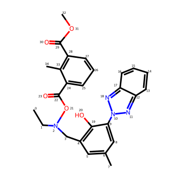 CCN(Cc1cc(C)cc(-n2nc3ccccc3n2)c1O)OC(=O)c1cccc(C(=O)OC)c1C